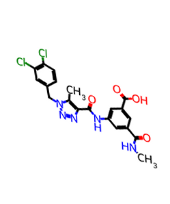 CNC(=O)c1cc(NC(=O)c2nnn(Cc3ccc(Cl)c(Cl)c3)c2C)cc(C(=O)O)c1